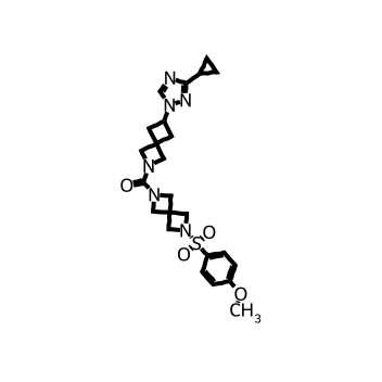 COc1ccc(S(=O)(=O)N2CC3(CN(C(=O)N4CC5(CC(n6cnc(C7CC7)n6)C5)C4)C3)C2)cc1